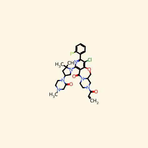 C=CC(=O)N1CCN2C(=O)c3c(N4CC(N5CCN(C)CC5=O)CC4(C)C)nc(-c4ccccc4F)c(Cl)c3OCC2C1